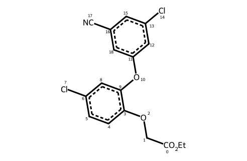 CCOC(=O)COc1ccc(Cl)cc1Oc1cc(Cl)cc(C#N)c1